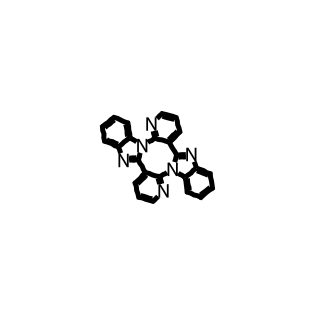 c1ccc2c(c1)nc1c3cccnc3n3c4ccccc4nc3c3cccnc3n21